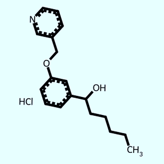 CCCCCC(O)c1cccc(OCc2cccnc2)c1.Cl